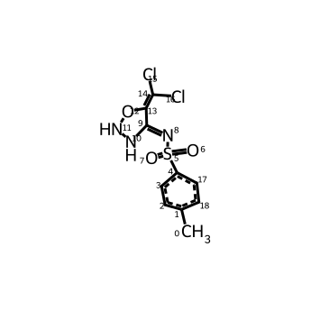 Cc1ccc(S(=O)(=O)N=C2NNOC2=C(Cl)Cl)cc1